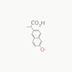 CC(C(=O)O)c1ccc2cc([O])ccc2c1